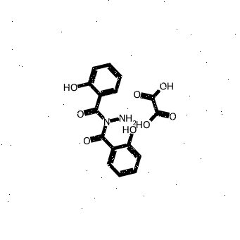 NN(C(=O)c1ccccc1O)C(=O)c1ccccc1O.O=C(O)C(=O)O